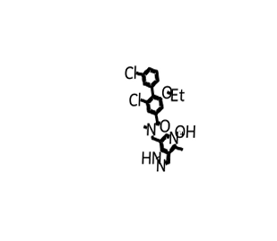 CCOc1cc(C(=O)N(C)Cc2c[n+](O)c(C)c3cn[nH]c23)cc(Cl)c1-c1cccc(Cl)c1